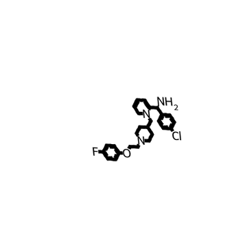 N[C@@H](C1=CC=CCN1CC1CCN(CCOc2ccc(F)cc2)CC1)c1ccc(Cl)cc1